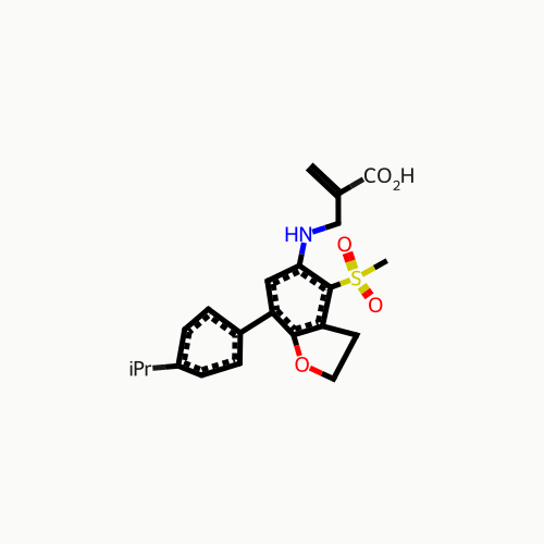 C=C(CNc1cc(-c2ccc(C(C)C)cc2)c2c(c1S(C)(=O)=O)CCO2)C(=O)O